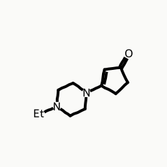 CCN1CCN(C2=CC(=O)CC2)CC1